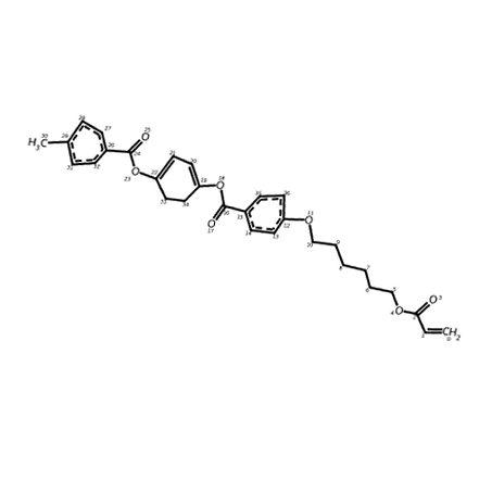 C=CC(=O)OCCCCCCOc1ccc(C(=O)OC2=CC=C(OC(=O)c3ccc(C)cc3)CC2)cc1